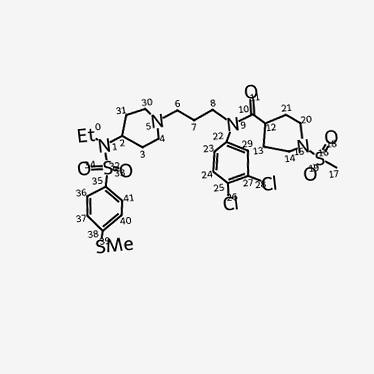 CCN(C1CCN(CCCN(C(=O)C2CCN(S(C)(=O)=O)CC2)c2ccc(Cl)c(Cl)c2)CC1)S(=O)(=O)c1ccc(SC)cc1